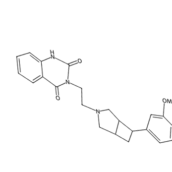 COc1cccc(C2CC3CN(CCn4c(=O)[nH]c5ccccc5c4=O)CC32)c1